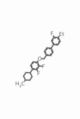 CCc1ccc(-c2ccc(COc3ccc(C4CCC(C)CC4)c(F)c3F)cc2)cc1F